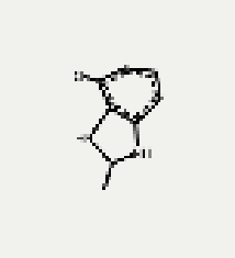 CC1Nc2cccc(Cl)c2N1